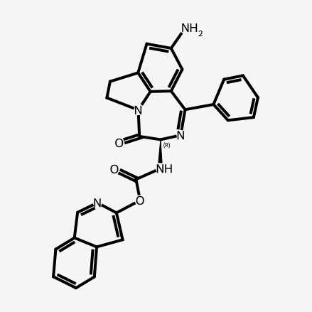 Nc1cc2c3c(c1)C(c1ccccc1)=N[C@@H](NC(=O)Oc1cc4ccccc4cn1)C(=O)N3CC2